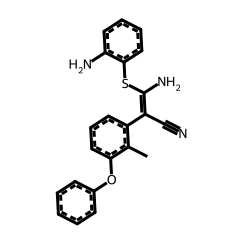 Cc1c(Oc2ccccc2)cccc1/C(C#N)=C(/N)Sc1ccccc1N